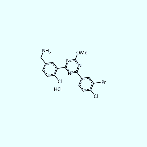 COc1nc(-c2ccc(Cl)c(C(C)C)c2)nc(-c2cc(CN)ccc2Cl)n1.Cl